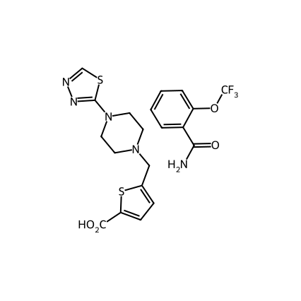 NC(=O)c1ccccc1OC(F)(F)F.O=C(O)c1ccc(CN2CCN(c3nncs3)CC2)s1